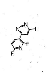 Fc1ccc(-c2cc(I)ncn2)c(F)n1